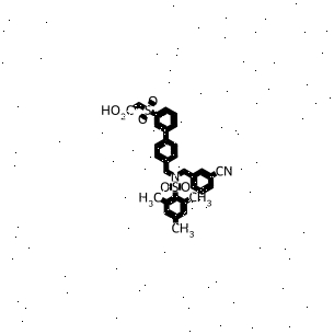 Cc1cc(C)c(S(=O)(=O)N(Cc2ccc(-c3cccc(S(=O)(=O)CC(=O)O)c3)cc2)Cc2cccc(C#N)c2)c(C)c1